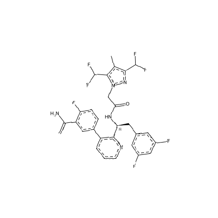 C=C(N)c1cc(-c2cccnc2[C@H](Cc2cc(F)cc(F)c2)NC(=O)Cn2nc(C(F)F)c(C)c2C(F)F)ccc1F